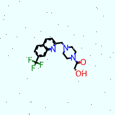 O=C(CO)N1CCN(Cc2ccc3ccc(C(F)(F)F)cc3n2)CC1